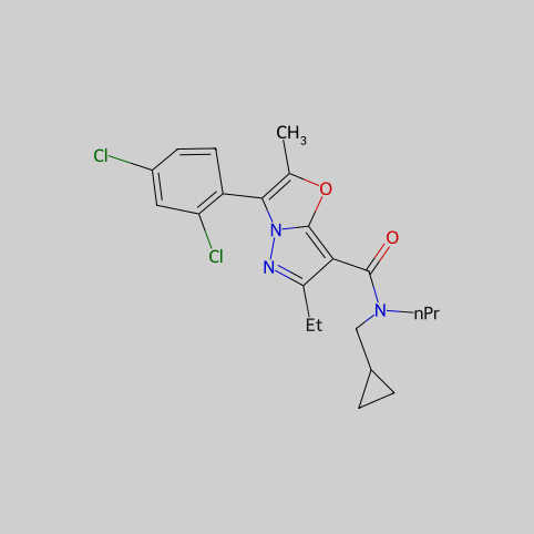 CCCN(CC1CC1)C(=O)c1c(CC)nn2c(-c3ccc(Cl)cc3Cl)c(C)oc12